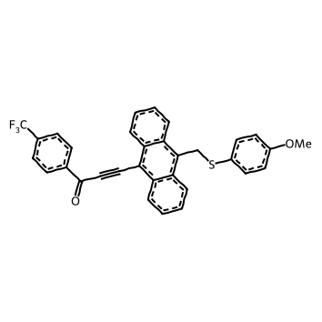 COc1ccc(SCc2c3ccccc3c(C#CC(=O)c3ccc(C(F)(F)F)cc3)c3ccccc23)cc1